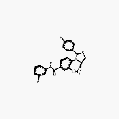 Cc1cc(C(=O)Nc2cccc(F)c2)ccc1N1C(=O)CSC1c1ccc(F)cc1